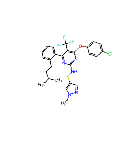 CC(C)CCc1ccccc1-c1nc(NSc2cnn(C)c2)nc(Oc2ccc(Cl)cc2)c1C(F)(F)F